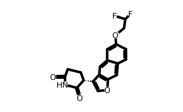 O=C1CC[C@H](c2coc3cc4ccc(OCC(F)F)cc4cc23)C(=O)N1